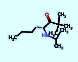 CCCC[C@@H](NC(C)C)C(=O)C(C)(C)C